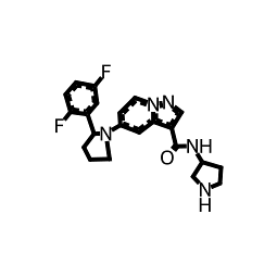 O=C(NC1CCNC1)c1cnn2ccc(N3CCCC3c3cc(F)ccc3F)cc12